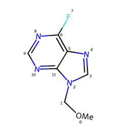 COCn1cnc2c(F)ncnc21